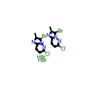 Br.Br.Cc1nc2ccc(Cl)nn2c1Br.Cc1nc2ccc(Cl)nn2c1Br